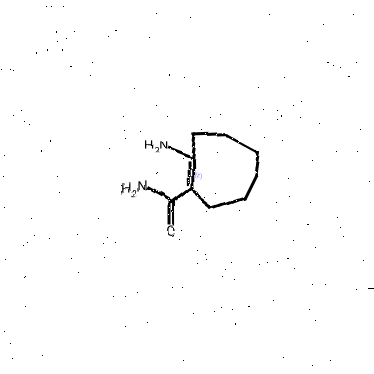 NC(=O)/C1=C(\N)CCCCCC1